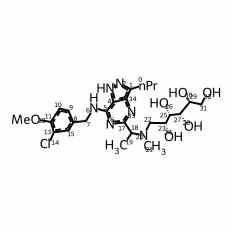 CCCc1n[nH]c2c(NCc3ccc(OC)c(Cl)c3)nc(C(C)N(C)C[C@@H](O)[C@H](O)[C@@H](O)[C@@H](O)CO)nc12